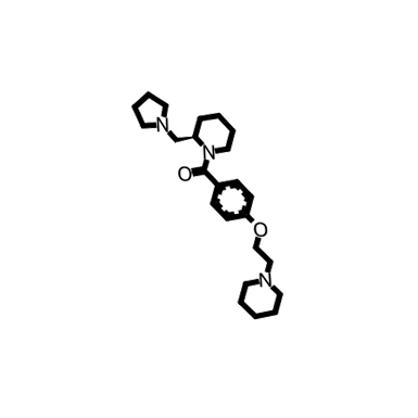 O=C(c1ccc(OCCN2CCCCC2)cc1)N1CCCC[C@@H]1CN1CCCC1